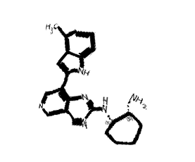 Cc1cccc2[nH]c(-c3cncc4cnc(N[C@H]5CCCC[C@H]5N)nc34)cc12